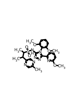 COc1cccc(-c2nnc(NS(=O)(=O)C(C)C(C)c3cnc(C)cn3)n2-c2c(OC)cccc2OC)n1